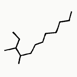 CCCCCCCC[C](C)C(C)CC